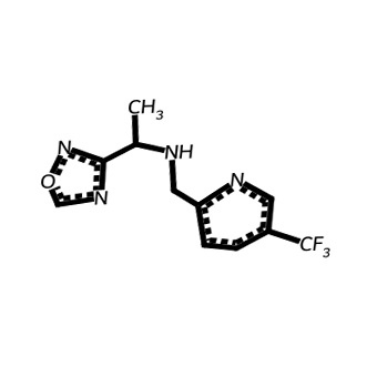 CC(NCc1ccc(C(F)(F)F)cn1)c1ncon1